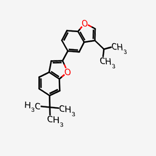 CC(C)c1coc2ccc(-c3cc4ccc(C(C)(C)C)cc4o3)cc12